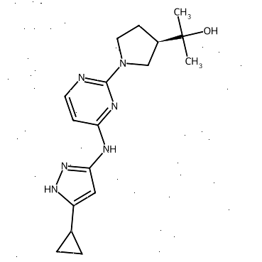 CC(C)(O)[C@@H]1CCN(c2nccc(Nc3cc(C4CC4)[nH]n3)n2)C1